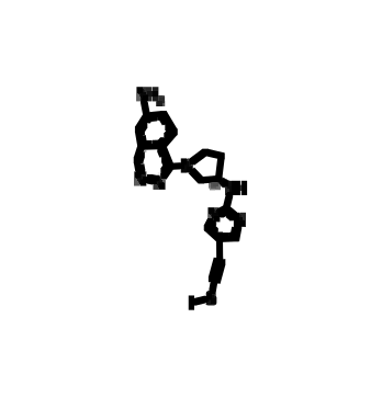 Nc1ccc2c(N3CC[C@@H](Nc4ncc(C#CSI)cn4)C3)nncc2c1